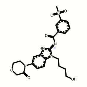 CS(=O)(=O)c1cccc(C(=O)/N=c2\[nH]c3cc(N4CCOCC4=O)ccc3n2CCCCO)c1